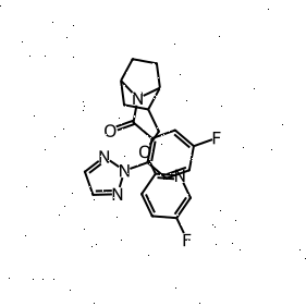 O=C(c1cc(F)ccc1-n1nccn1)N1C2CCC1C(COc1ccc(F)cn1)C2